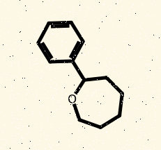 c1ccc(C2CCCCCO2)cc1